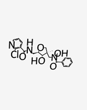 C[C@@]1(CN(O)C(=O)c2ccccc2)CO[C@H](CNC(=O)c2cccnc2Cl)[C@H]1O